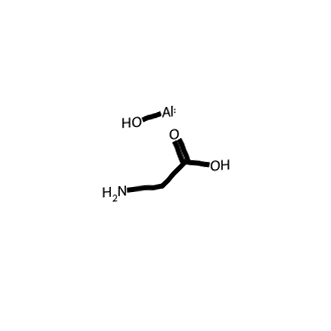 NCC(=O)O.[OH][Al]